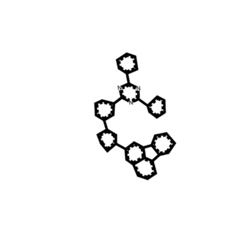 c1ccc(-c2nc(-c3ccccc3)nc(-c3cccc(-c4cccc(-c5cc6c7c(cccc7c5)-c5ccccc5-6)c4)c3)n2)cc1